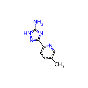 Cc1ccc(-c2n[nH]c(N)n2)nc1